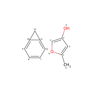 Cc1cc(O)co1.c1ccc2c(c1)C2